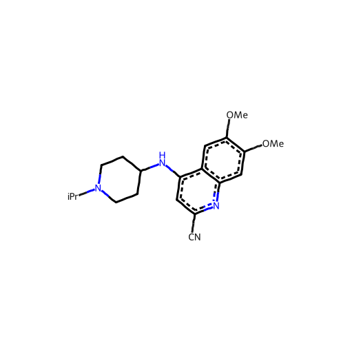 COc1cc2nc(C#N)cc(NC3CCN(C(C)C)CC3)c2cc1OC